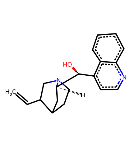 C=CC1CN2CCC1C[C@@H]2[C@@H](O)c1ccnc2ccccc12